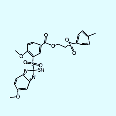 COc1ccc2c(c1)=NC(S)(S(=O)(=O)c1cc(C(=O)OCCS(=O)(=O)c3ccc(C)cc3)ccc1OC)N=2